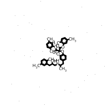 Cc1ccc(C)c(CC(O)CNC(C)Cc2ccc3c(c2)OC(C(=O)Oc2cc(C)ccc2C)(C(=O)Oc2cc(C)ccc2C)O3)c1